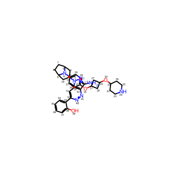 Nc1nn(C2CC3CCC(C2)N3c2ccc(OC3CC(OC4CCNCC4)C3)nc2)c2cc(-c3ccccc3O)nnc12